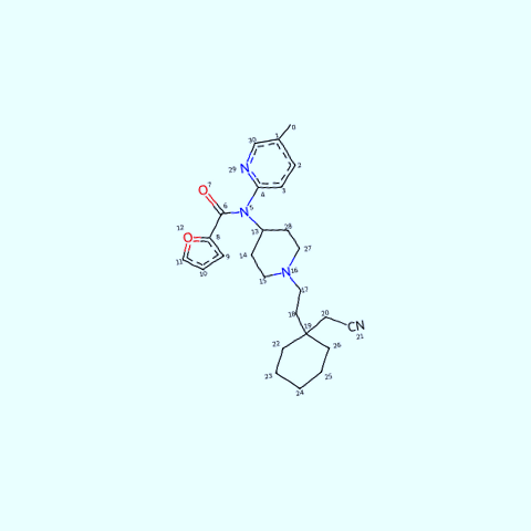 Cc1ccc(N(C(=O)c2ccco2)C2CCN(CCC3(CC#N)CCCCC3)CC2)nc1